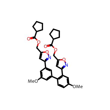 COc1cc(-c2cc(COC(=O)C3CCCC3)on2)cc(-c2ccc(OC)cc2-c2cc(COC(=O)C3CCCC3)on2)c1